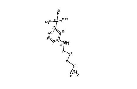 NCCCCNc1cccc(C(F)(F)F)c1